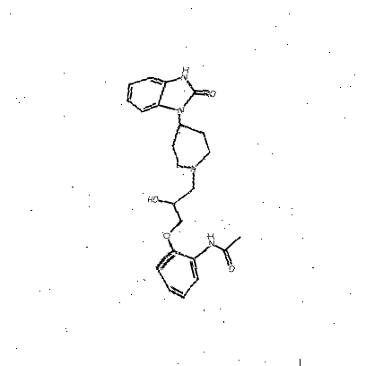 CC(=O)Nc1ccccc1OCC(O)CN1CCC(n2c(=O)[nH]c3ccccc32)CC1